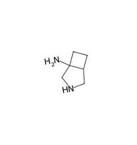 NC12CCC1CNC2